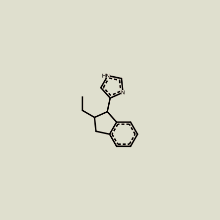 CCC1Cc2ccccc2C1c1c[nH]cn1